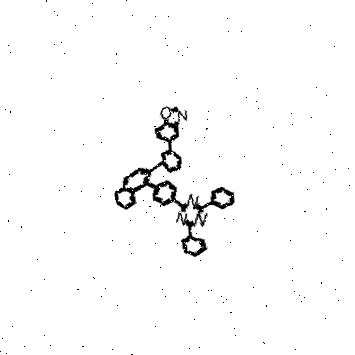 c1ccc(-c2nc(-c3ccccc3)nc(-c3ccc(-c4c(-c5cccc(-c6ccc7ocnc7c6)c5)ccc5ccccc45)cc3)n2)cc1